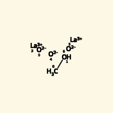 CO.[La+3].[La+3].[O-2].[O-2].[O-2]